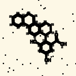 O=C(O)c1nc(O)nc(O)c1C1CCC=c2c1ccc1c2=CCc2ccccc2-1